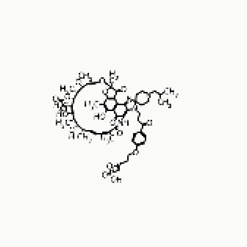 CO[C@H]1/C=C/O[C@@]2(C)Oc3c(C)c(O)c4c(c3C2=O)C2=NC3(CCN(CC(C)C)CC3)N(CCC(=O)c3ccc(OCCCCP(=O)(O)O)cc3)C2=C(NC(=O)/C(C)=C\C=C\[C@H](C)[C@H](O)[C@@H](C)[C@@H](O)[C@@H](C)[C@H](OC(C)=O)[C@@H]1C)C4=O